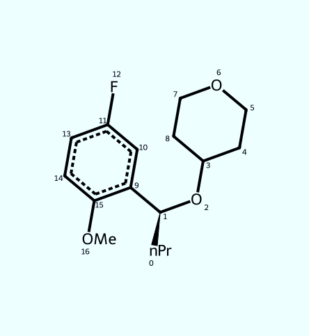 CCC[C@H](OC1CCOCC1)c1cc(F)ccc1OC